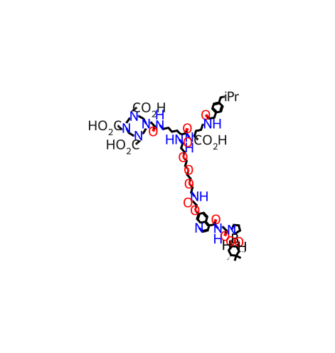 CC(C)Cc1ccc(CC(=O)NCCCC(NC(=O)C(CCCCNC(=O)CN2CCN(CC(=O)O)CCN(CC(=O)O)CCN(CC(=O)O)CC2)NC(=O)CCOCCOCCOCCNC(=O)COc2ccc3c(C(=O)NCC(=O)N4CCC[C@H]4B4O[C@H]5[C@H](C[C@@H](C)C(C)(C)[C@H]5C)O4)ccnc3c2)C(=O)O)cc1